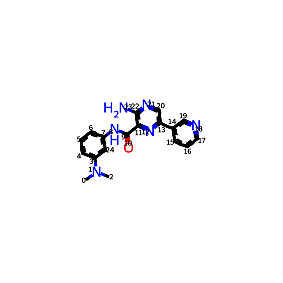 CN(C)c1cccc(NC(=O)c2nc(-c3cccnc3)cnc2N)c1